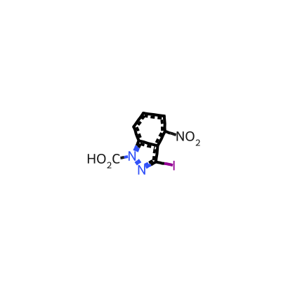 O=C(O)n1nc(I)c2c([N+](=O)[O-])cccc21